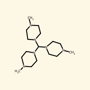 CN1CCN(C(N2CCN(C)CC2)N2CCN(C)CC2)CC1